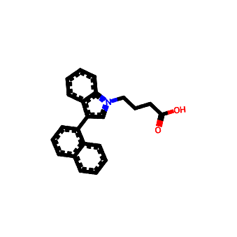 O=C(O)CCCn1cc(-c2cccc3ccccc23)c2ccccc21